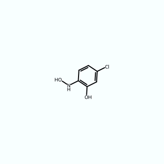 ONc1ccc(Cl)cc1O